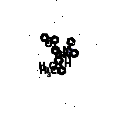 CC1(C)c2ccccc2-c2cc3c(cc21)c1c(n3CNC2C=CC=C/C2=C(/N)c2ccccc2)C=C(C2=c3oc4ccccc4c3=CCC2)CC1